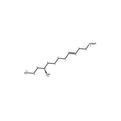 CCCCCCCCC/C=C/CCCC[C@@H](O)CCO